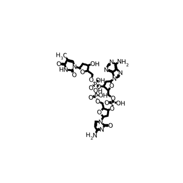 Cc1cn(C2CC(O)C(COP(=O)(O)OC3CC(n4cnc5c(N)ncnc54)OC3COP(=O)(O)OC3CC(n4ccc(N)nc4=O)OC3COP(=O)(O)O)O2)c(=O)[nH]c1=O